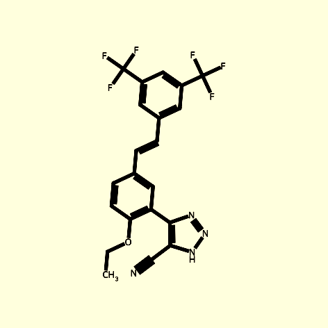 CCOc1ccc(/C=C/c2cc(C(F)(F)F)cc(C(F)(F)F)c2)cc1-c1nn[nH]c1C#N